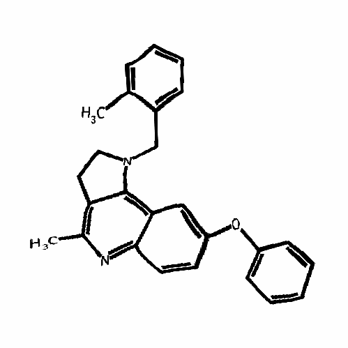 Cc1ccccc1CN1CCc2c(C)nc3ccc(Oc4ccccc4)cc3c21